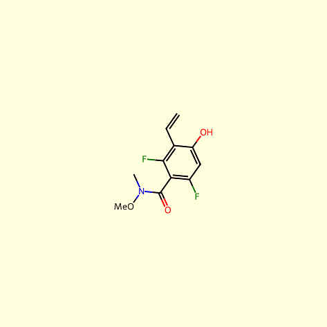 C=Cc1c(O)cc(F)c(C(=O)N(C)OC)c1F